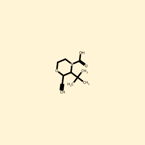 C#CC1OCCN(C(=O)O)C1C(C)(C)C